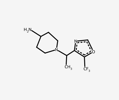 CC(c1ncoc1C(F)(F)F)N1CCC(N)CC1